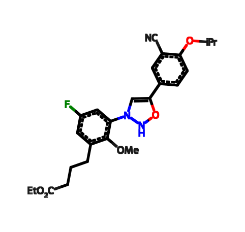 CCOC(=O)CCCc1cc(F)cc(N2C=C(c3ccc(OC(C)C)c(C#N)c3)ON2)c1OC